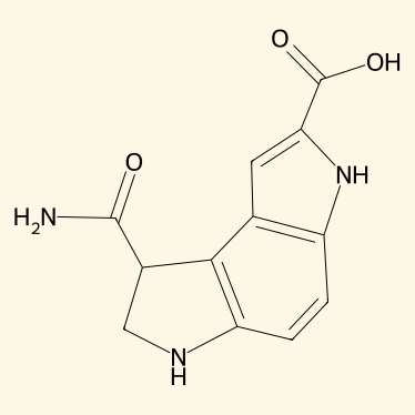 NC(=O)C1CNc2ccc3[nH]c(C(=O)O)cc3c21